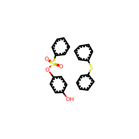 O=S(=O)(Oc1ccc(O)cc1)c1ccccc1.c1ccc(Sc2ccccc2)cc1